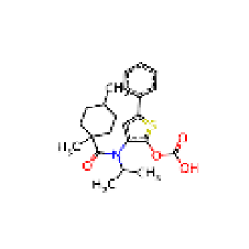 CC1CCC(C)(C(=O)N(c2cc(-c3ccccc3)sc2OC(=O)O)C(C)C)CC1